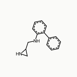 c1ccc(-c2ccccc2NCC2CN2)cc1